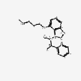 COCCCOc1cccc2c1N([S+]([O-])C(C)c1ccccn1)CN2